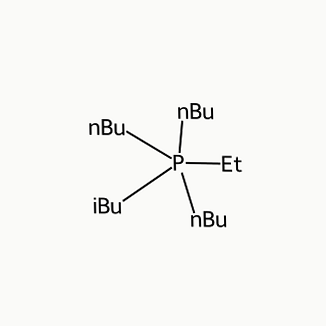 CCCCP(CC)(CCCC)(CCCC)C(C)CC